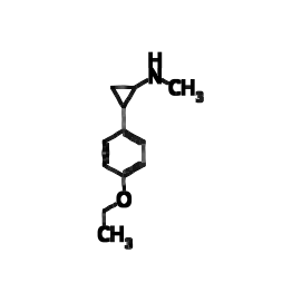 CCOc1ccc(C2CC2NC)cc1